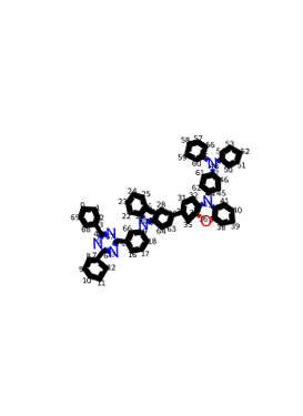 c1ccc(-c2nc(-c3ccccc3)nc(-c3cccc(-n4c5ccccc5c5cc(-c6ccc7c(c6)Oc6ccccc6N7c6ccc(N(c7ccccc7)c7ccccc7)cc6)ccc54)c3)n2)cc1